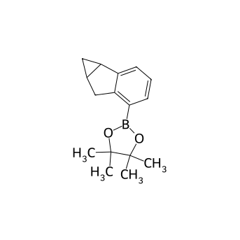 CC1(C)OB(c2cccc3c2CC2CC32)OC1(C)C